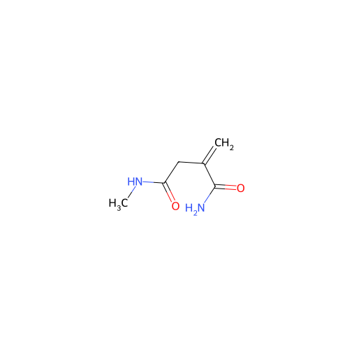 C=C(CC(=O)NC)C(N)=O